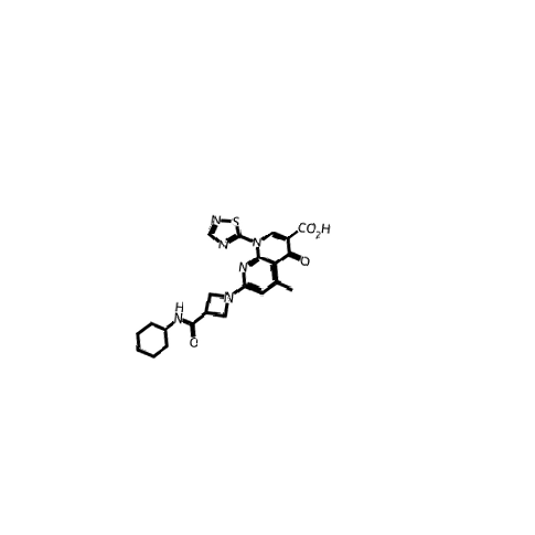 Cc1cc(N2CC(C(=O)NC3CCCCC3)C2)nc2c1c(=O)c(C(=O)O)cn2-c1ncns1